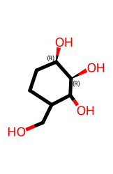 OCC1CC[C@@H](O)[C@@H](O)C1O